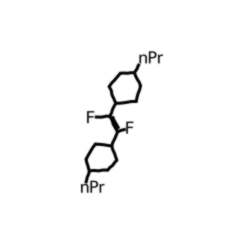 CCCC1CCC(/C(F)=C(\F)C2CCC(CCC)CC2)CC1